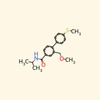 COCc1cc(C(=O)NC(C)C)ccc1-c1ccc(SC)cc1